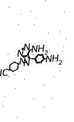 N#CC1CCC(n2nc(-c3ccc(N)cc3)c3c(N)ncnc32)CC1